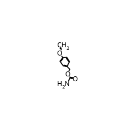 C=COc1ccc(COC(N)=O)cc1